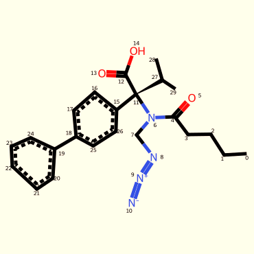 CCCCC(=O)N(CN=[N+]=[N-])[C@@](C(=O)O)(c1ccc(-c2ccccc2)cc1)C(C)C